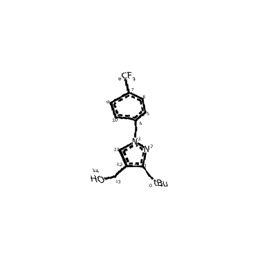 CC(C)(C)c1nn(-c2ccc(C(F)(F)F)cc2)cc1CO